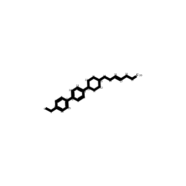 CCc1ccc(-c2ccc(C3CCC(CC/C=C/CCF)CC3)cc2)cc1